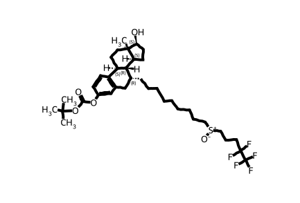 CC(C)(C)OC(=O)Oc1ccc2c(c1)C[C@@H](CCCCCCCCC[S+]([O-])CCCC(F)(F)C(F)(F)F)[C@@H]1[C@@H]2CC[C@]2(C)[C@@H](O)CC[C@@H]12